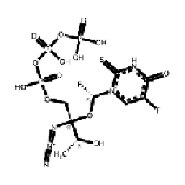 C[C@@H](O)[C@](COP(=O)(O)OP(=O)(O)OP(=O)(O)O)(N=[N+]=[N-])O[C@H](F)n1cc(F)c(=O)[nH]c1=S